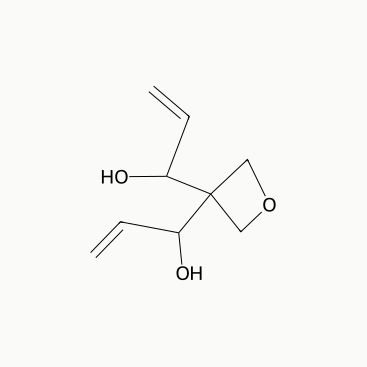 C=CC(O)C1(C(O)C=C)COC1